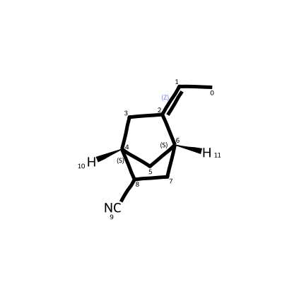 C/C=C1/C[C@@H]2C[C@H]1CC2C#N